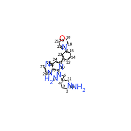 NN1CCCC(CN(N)c2nc(-c3cccc(N4CCOCC4)c3)cc3nccnc23)C1